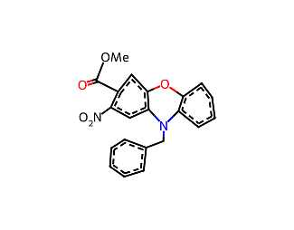 COC(=O)c1cc2c(cc1[N+](=O)[O-])N(Cc1ccccc1)c1ccccc1O2